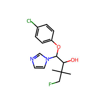 CC(C)(CF)C(O)C(Oc1ccc(Cl)cc1)n1ccnc1